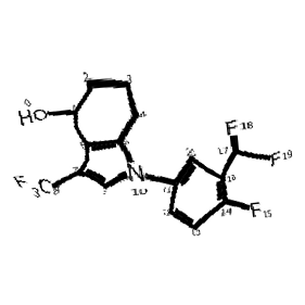 OC1CCCc2c1c(C(F)(F)F)cn2-c1ccc(F)c(C(F)F)c1